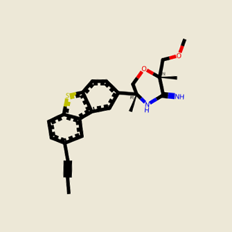 CC#Cc1ccc2sc3ccc([C@]4(C)CO[C@](C)(COC)C(=N)N4)cc3c2c1